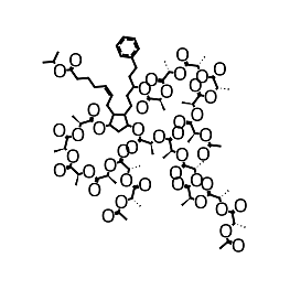 CC(=O)O[C@@H](C)C(=O)O[C@@H](C)C(=O)O[C@@H](C)C(=O)O[C@@H](C)C(=O)O[C@@H](C)C(=O)O[C@@H](C)C(=O)OC(CCc1ccccc1)CCC1C(OC(=O)[C@H](C)OC(=O)[C@H](C)OC(=O)[C@H](C)OC(=O)[C@H](C)OC(=O)[C@H](C)OC(=O)[C@H](C)OC(C)=O)CC(OC(=O)[C@H](C)OC(=O)[C@H](C)OC(=O)[C@H](C)OC(=O)[C@H](C)OC(=O)[C@H](C)OC(=O)[C@H](C)OC(C)=O)C1C/C=C\CCCC(=O)OC(C)C